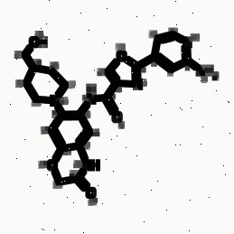 Nc1cc(-c2nc(C(=O)Nc3cc4c(cc3N3CCC(CO)CC3)OCC(=O)N4)co2)ccn1